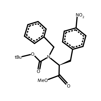 COC(=O)[C@H](Cc1ccc([N+](=O)[O-])cc1)N(Cc1ccccc1)C(=O)OC(C)(C)C